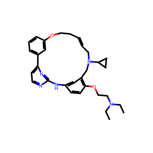 CCN(CC)CCOc1ccc2cc1CN(C1CC1)C/C=C/CCOc1cccc(c1)-c1ccnc(n1)N2